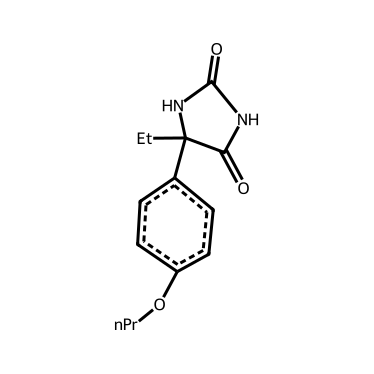 CCCOc1ccc(C2(CC)NC(=O)NC2=O)cc1